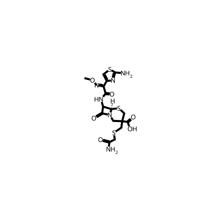 CON=C(C(=O)NC1C(=O)N2CC(CSCC(N)=O)(C(=O)O)CS[C@H]12)c1csc(N)n1